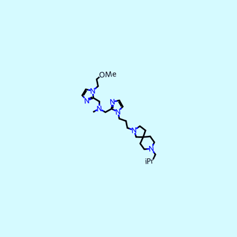 COCCn1ccnc1CN(C)Cc1nccn1CCCN1CCC2(CCN(CC(C)C)CC2)C1